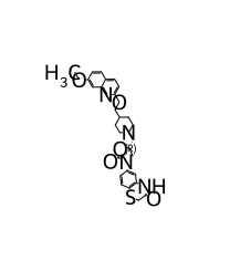 COc1ccc2ccc(OCC3CCN(C[C@@H]4CN(c5ccc6c(c5)NC(=O)CS6)C(=O)O4)CC3)nc2c1